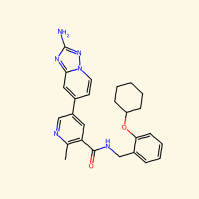 Cc1ncc(-c2ccn3nc(N)nc3c2)cc1C(=O)NCc1ccccc1OC1CCCCC1